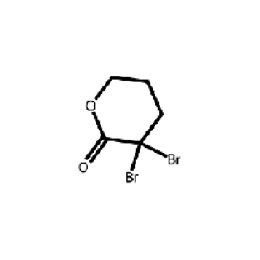 O=C1OCCCC1(Br)Br